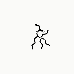 C=CC(=O)OC(CCCC)[Si](CCC)(CCC)OCC